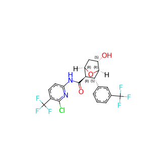 O=C(Nc1ccc(C(F)(F)F)c(Cl)n1)[C@@H]1[C@@H](c2cccc(C(F)(F)F)c2)[C@H]2O[C@@H]1C[C@@H]2O